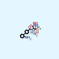 CC(C)(O)[C@H](NC(=O)c1ccc(-c2ccccc2N)cc1)C(=O)NO